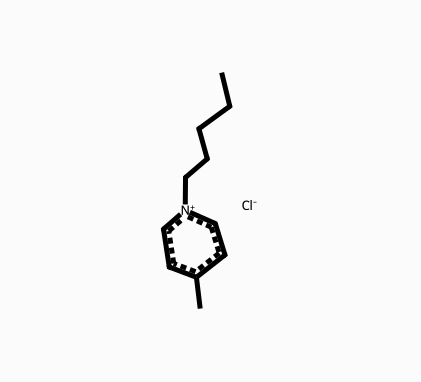 CCCCC[n+]1ccc(C)cc1.[Cl-]